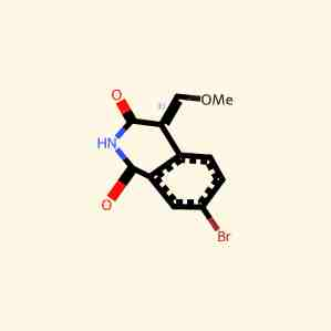 CO/C=C1/C(=O)NC(=O)c2cc(Br)ccc21